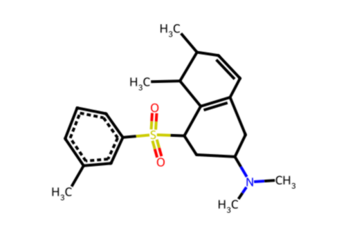 Cc1cccc(S(=O)(=O)C2CC(N(C)C)CC3=C2C(C)C(C)C=C3)c1